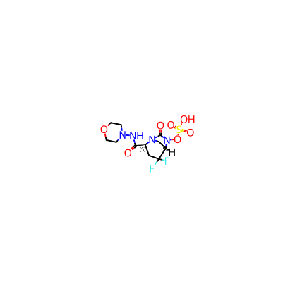 O=C(NN1CCOCC1)[C@@H]1CC(F)(F)[C@@H]2CN1C(=O)N2OS(=O)(=O)O